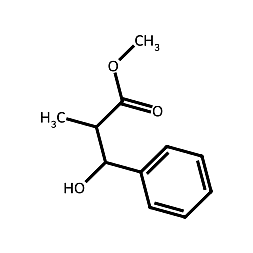 COC(=O)C(C)C(O)c1ccccc1